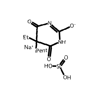 CCCC(C)C1(CC)C(=O)N=C([O-])NC1=O.O=[Si](O)O.[Na+]